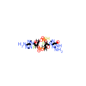 Nc1nc2c(ncn2[C@@H]2O[C@@H]3CO[PH](=O)O[C@H]4[C@H](F)[C@H](n5cnc6c(N)ncnc65)O[C@@H]4COP(=O)(S)O[C@@H]2[C@H]3F)c(=O)[nH]1